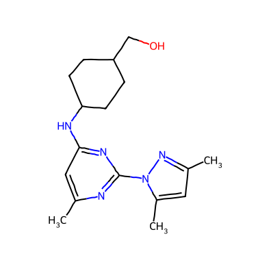 Cc1cc(NC2CCC(CO)CC2)nc(-n2nc(C)cc2C)n1